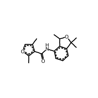 Cc1coc(C)c1C(=O)Nc1cccc2c1C(C)OC2(C)C